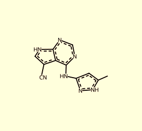 Cc1cc(Nc2ncnc3[nH]cc(C#N)c23)n[nH]1